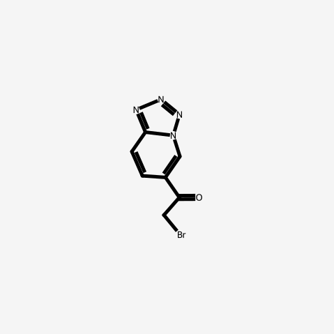 O=C(CBr)c1ccc2nnnn2c1